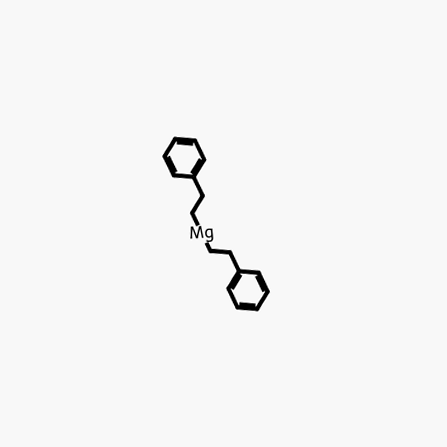 c1ccc(C[CH2][Mg][CH2]Cc2ccccc2)cc1